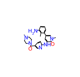 Cc1c(N)cccc1-c1cc(Nc2ccc(C(=O)N3CCN(C)CC3)cn2)c(=O)n(C)c1